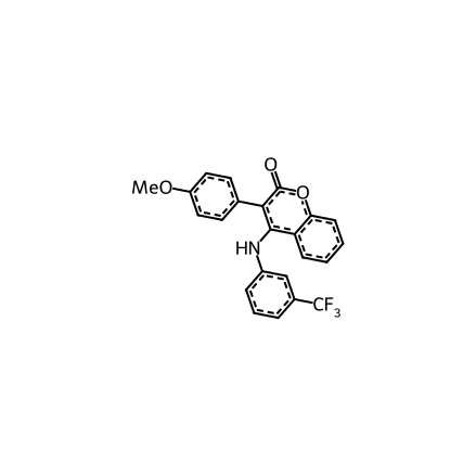 COc1ccc(-c2c(Nc3cccc(C(F)(F)F)c3)c3ccccc3oc2=O)cc1